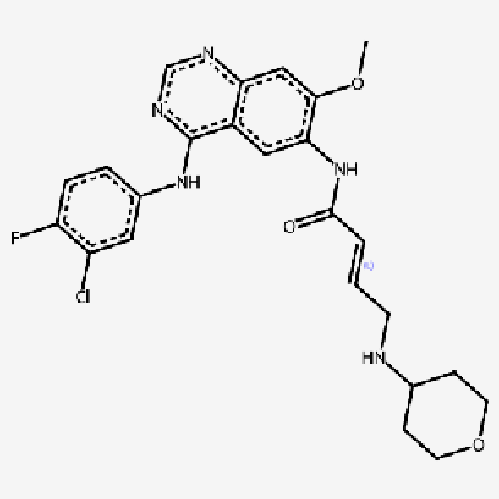 COc1cc2ncnc(Nc3ccc(F)c(Cl)c3)c2cc1NC(=O)/C=C/CNC1CCOCC1